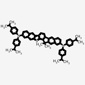 CC(C)c1ccc(N(c2ccc(C(C)C)cc2)c2ccc3cc4c(cc3c2)C(C)(C)c2c-4ccc3c2sc2cc4cc(N(c5ccc(C(C)C)cc5)c5ccc(C(C)C)cc5)ccc4cc23)cc1